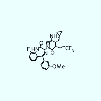 COc1cccc(C2=N[C@H](NC(=O)[C@H](CCC(F)(F)F)[C@H](CC3CC3)C(N)=O)C(=O)Nc3c(F)cccc32)c1